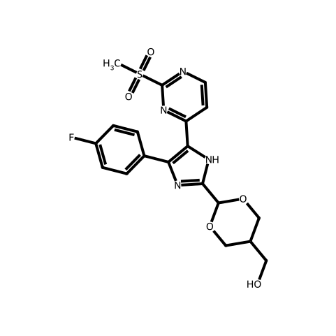 CS(=O)(=O)c1nccc(-c2[nH]c(C3OCC(CO)CO3)nc2-c2ccc(F)cc2)n1